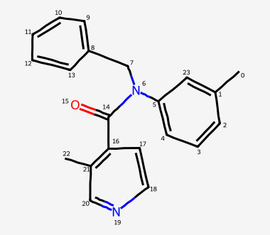 Cc1cccc(N(Cc2ccccc2)C(=O)c2ccncc2C)c1